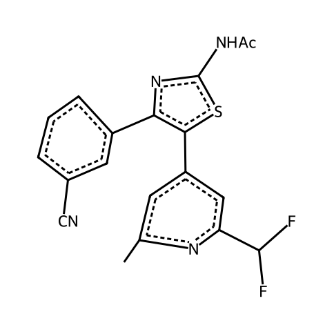 CC(=O)Nc1nc(-c2cccc(C#N)c2)c(-c2cc(C)nc(C(F)F)c2)s1